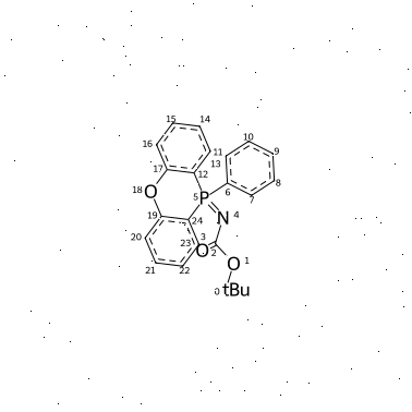 CC(C)(C)OC(=O)N=P1(c2ccccc2)c2ccccc2Oc2ccccc21